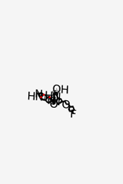 O=S(=O)(N1CCC2=Cc3[nH]ncc3C[C@H]2C1)N1CC=C(COCc2ccc(F)cc2)C=C1N1CC[C@H](O)C1